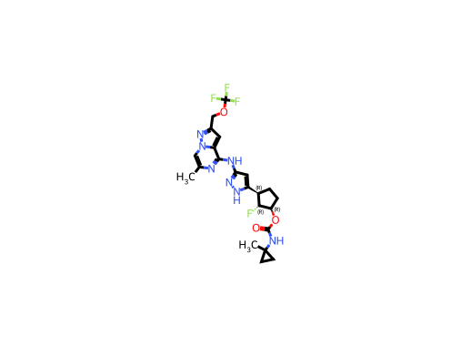 Cc1cn2nc(COC(F)(F)F)cc2c(Nc2cc([C@H]3CC[C@@H](OC(=O)NC4(C)CC4)[C@@H]3F)[nH]n2)n1